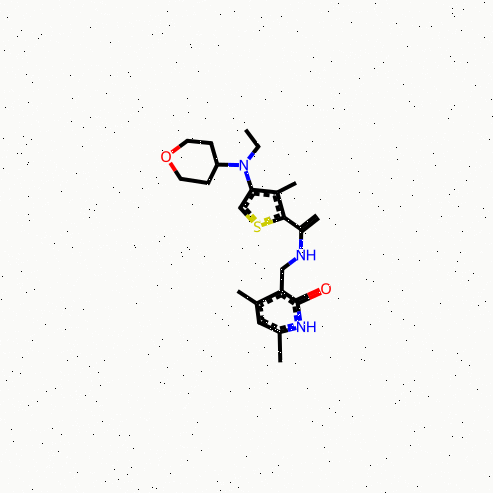 C=C(NCc1c(C)cc(C)[nH]c1=O)c1scc(N(CC)C2CCOCC2)c1C